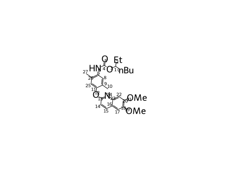 CCCCC(CC)OC(=O)Nc1cc(C)c(Oc2ccc3cc(OC)c(OC)cc3n2)cc1C